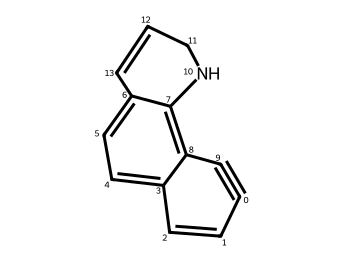 c1ccc2ccc3c(c2c#1)NCC=C3